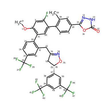 COc1cc(F)c(-c2ccc(-c3n[nH]c(=O)o3)cc2C)cc1-c1ccc(C(F)(F)F)cc1CC1=NO[C@H](c2cc(C(F)(F)F)cc(C(F)(F)F)c2)C1